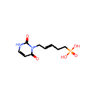 O=c1cc[nH]c(=O)n1CC=CCCP(=O)(O)O